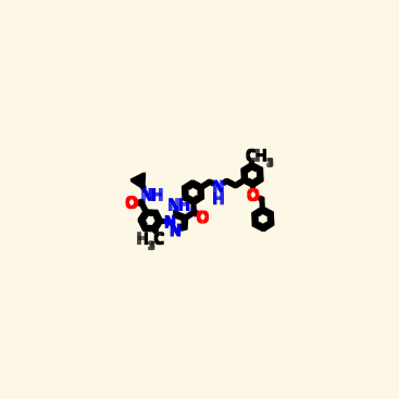 Cc1ccc(OCc2ccccc2)c(CCNCc2cccc(C(=O)c3cnn(-c4cc(C(=O)NC5CC5)ccc4C)c3N)c2)c1